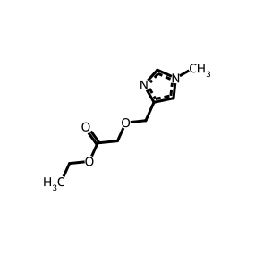 CCOC(=O)COCc1cn(C)cn1